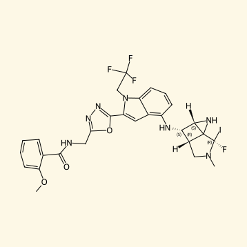 COc1ccccc1C(=O)NCc1nnc(-c2cc3c(N[C@H]4[C@H]5CN(C)[C@](F)(I)C56N[C@@H]46)cccc3n2CC(F)(F)F)o1